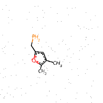 Cc1cc(CP)oc1C